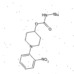 CC(C)(C)NC(=O)OC1CCN(c2ccccc2[N+](=O)[O-])CC1